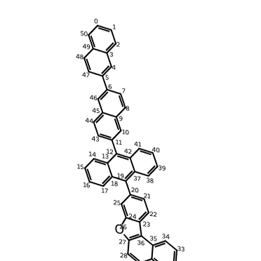 c1ccc2cc(-c3ccc4cc(-c5c6ccccc6c(-c6ccc7c(c6)oc6ccc8ccccc8c67)c6ccccc56)ccc4c3)ccc2c1